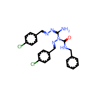 NC(=NN=Cc1ccc(Cl)cc1)N(N=Cc1ccc(Cl)cc1)C(=O)NCc1ccccc1